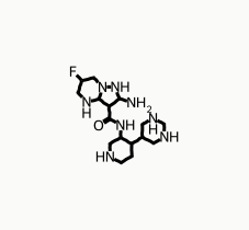 NC1NN2CC(F)CNC2C1C(=O)NC1CNCCC1C1CNCNC1